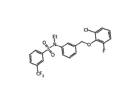 CCN(c1cccc(COc2c(F)cccc2Cl)c1)S(=O)(=O)c1cccc(C(F)(F)F)c1